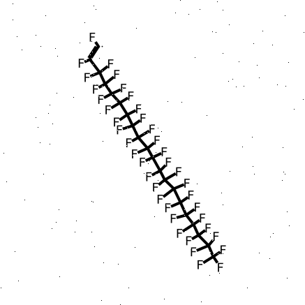 F/[C]=C(\F)C(F)(F)C(F)(F)C(F)(F)C(F)(F)C(F)(F)C(F)(F)C(F)(F)C(F)(F)C(F)(F)C(F)(F)C(F)(F)C(F)(F)C(F)(F)C(F)(F)C(F)(F)C(F)(F)C(F)(F)C(F)(F)F